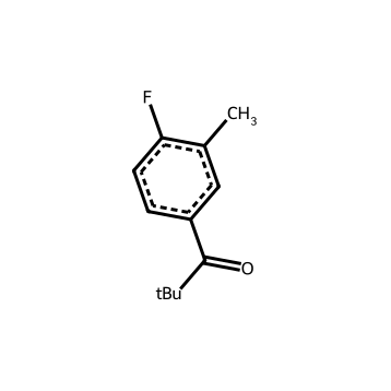 Cc1cc(C(=O)C(C)(C)C)ccc1F